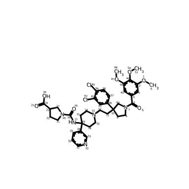 COc1cc(C(=O)N2CCC(CCN3CCC(NC(=O)N4CCC(C(=O)O)C4)(c4cccnc4)CC3)(c3ccc(Cl)c(Cl)c3)C2)cc(OC)c1OC